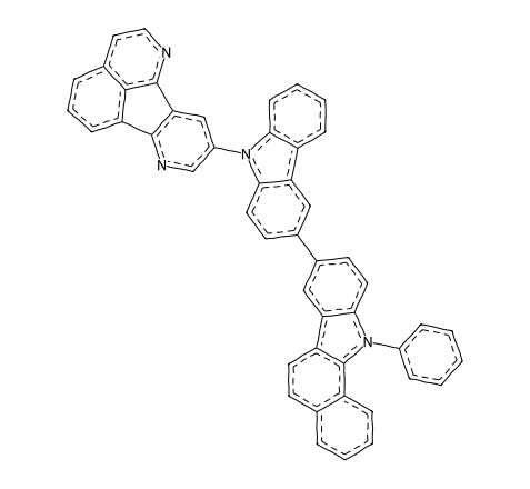 c1ccc(-n2c3ccc(-c4ccc5c(c4)c4ccccc4n5-c4cnc5c(c4)-c4nccc6cccc-5c46)cc3c3ccc4ccccc4c32)cc1